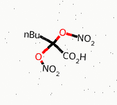 CCCCC(O[N+](=O)[O-])(O[N+](=O)[O-])C(=O)O